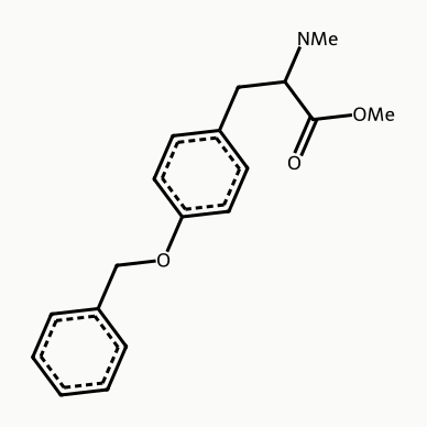 CNC(Cc1ccc(OCc2ccccc2)cc1)C(=O)OC